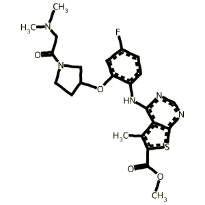 COC(=O)c1sc2ncnc(Nc3ccc(F)cc3OC3CCN(C(=O)CN(C)C)C3)c2c1C